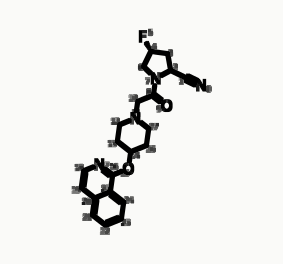 N#CC1C[C@H](F)CN1C(=O)CN1CCC(Oc2nccc3ccccc23)CC1